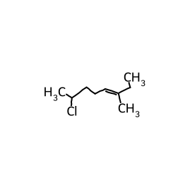 CCC(C)=CCCC(C)Cl